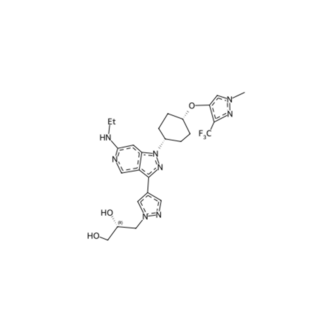 CCNc1cc2c(cn1)c(-c1cnn(C[C@@H](O)CO)c1)nn2[C@H]1CC[C@@H](Oc2cn(C)nc2C(F)(F)F)CC1